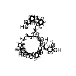 C=CC[C@@H]1/C=C(\C)C[C@H](C)C[C@H](OC)[C@H]2O[C@@](O)(C(=O)C(=O)N3CCCC[C@H]3C(=O)O[C@H](/C(C)=C/[C@@H]3CC[C@@H](O)[C@H](OC)C3)[C@H](C)[C@@H](O)CC1=O)[C@H](C)C[C@@H]2OC.O=C(O)Cc1ccccc1Nc1c(Cl)cccc1Cl